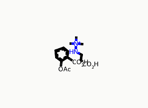 CC(=O)Oc1ccccc1C(=O)O.C[N+](C)(C)NCCC(=O)O